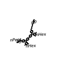 C=CC(=O)OCCCCCCc1ccc(N(c2ccc(-c3ccc(N(c4ccc(C(CCCCC)OC(=O)C=C)cc4)c4cc(C)c(CCCCCC)c(C)c4)cc3)cc2)c2cc(C)c(CCCCCC)c(C)c2)cc1